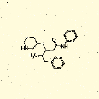 CC(Cc1ccccc1)C(CC(=O)Nc1ccccc1)CC1CCCNC1